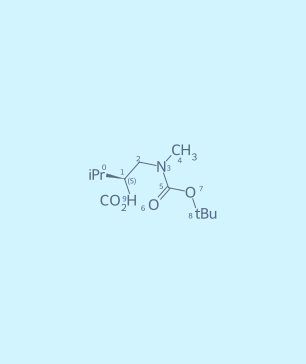 CC(C)[C@@H](CN(C)C(=O)OC(C)(C)C)C(=O)O